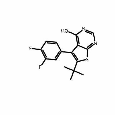 CC(C)(C)c1sc2ncnc(O)c2c1-c1ccc(F)c(F)c1